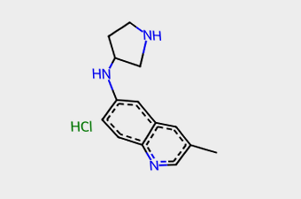 Cc1cnc2ccc(NC3CCNC3)cc2c1.Cl